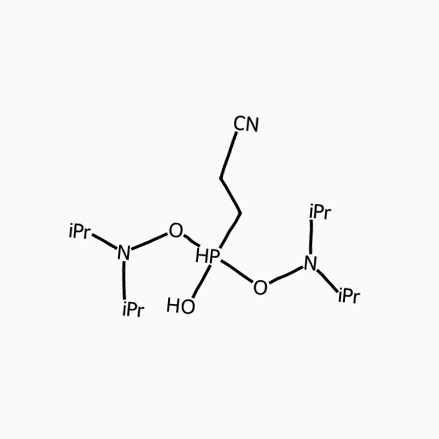 CC(C)N(O[PH](O)(CCC#N)ON(C(C)C)C(C)C)C(C)C